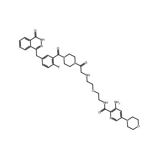 Nc1cc(N2CCOCC2)cnc1C(=O)NCCOCCNCC(=O)N1CCN(C(=O)c2cc(Cc3n[nH]c(=O)c4ccccc34)ccc2F)CC1